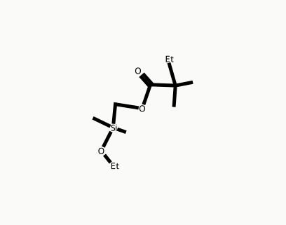 CCO[Si](C)(C)COC(=O)C(C)(C)CC